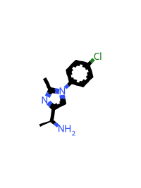 Cc1nc([C@H](C)N)cn1-c1ccc(Cl)cc1